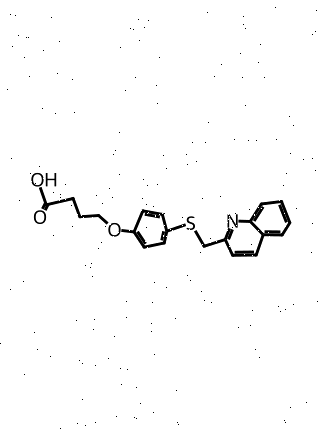 O=C(O)CCCOc1ccc(SCc2ccc3ccccc3n2)cc1